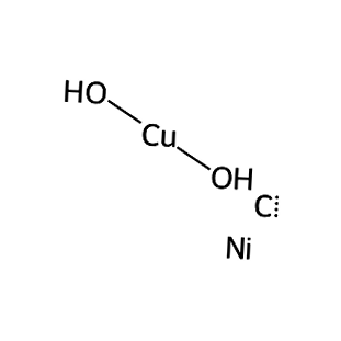 [C].[Ni].[OH][Cu][OH]